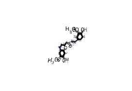 COc1cc(/C=C\C(=O)C[S+]([O-])/C=C/c2ccc(O)c(OC)c2)ccc1O